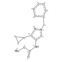 CC(C)(C)OC(=O)Nc1cn(Cc2ccccc2)nc1C1CC1